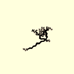 CO[Si](C)(CCCC(N)(CCCCCCCCN)CCC[Si](C)(OC)OC)OC